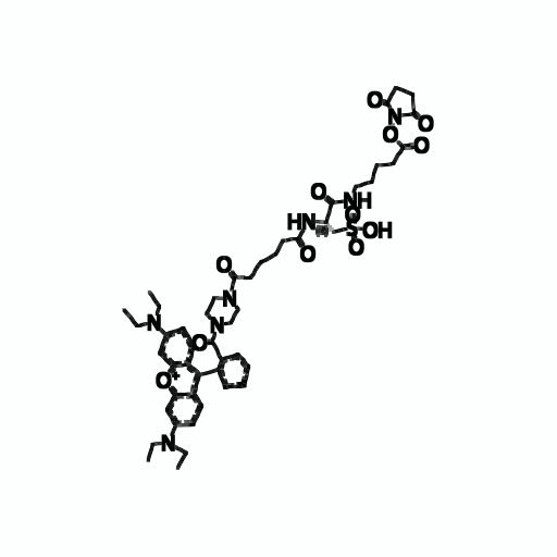 CCN(CC)c1ccc2c(-c3ccccc3C(=O)N3CCN(C(=O)CCCCC(=O)N[C@@H](CS(=O)(=O)O)C(=O)NCCCCC(=O)ON4C(=O)CCC4=O)CC3)c3ccc(N(CC)CC)cc3[o+]c2c1